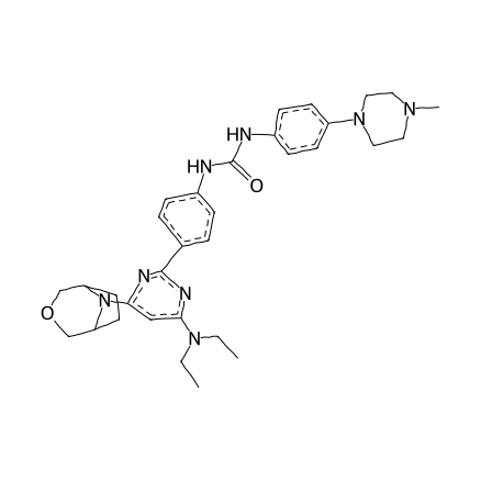 CCN(CC)c1cc(N2C3CCC2COC3)nc(-c2ccc(NC(=O)Nc3ccc(N4CCN(C)CC4)cc3)cc2)n1